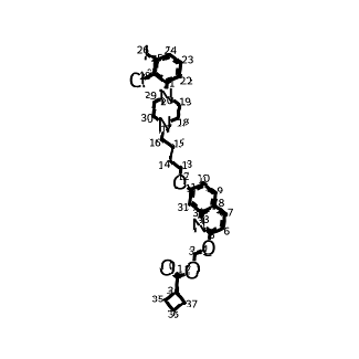 O=C(OCOc1ccc2ccc(OCCCCN3CCN(c4cccc(I)c4Cl)CC3)cc2n1)C1CCC1